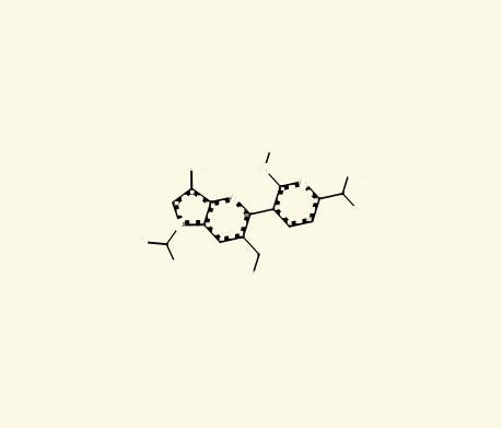 CCc1cc2c(nc1-c1ccc(C(C)C)nc1NC)c(C)cn2C(C)C